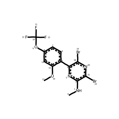 CNc1nc(-c2ccc(OC(F)(F)F)cc2OC)c(Br)nc1Br